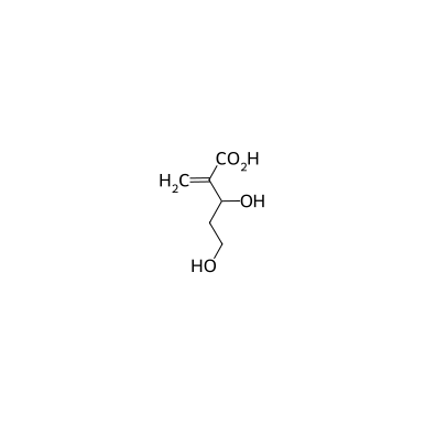 C=C(C(=O)O)C(O)CCO